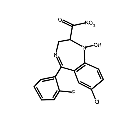 O=C(C1CN=C(c2ccccc2F)c2cc(Cl)ccc2N1O)[N+](=O)[O-]